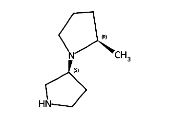 C[C@@H]1CCCN1[C@H]1CCNC1